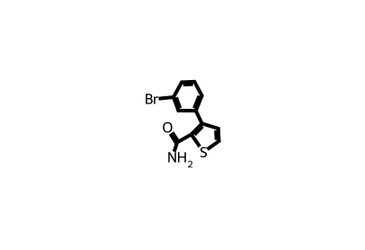 NC(=O)c1sccc1-c1cccc(Br)c1